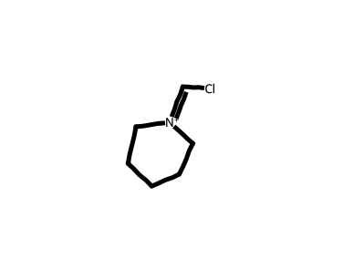 ClC=[N+]1CCCCC1